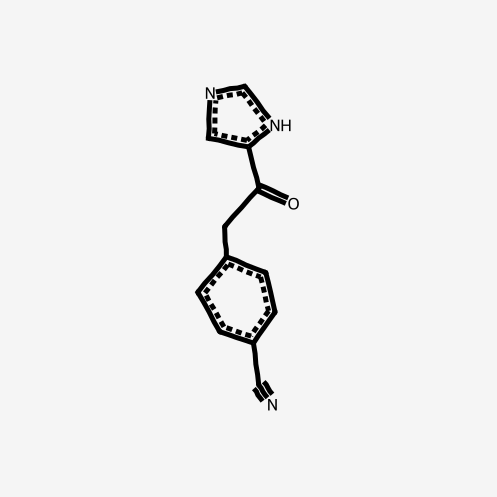 N#Cc1ccc(CC(=O)c2cnc[nH]2)cc1